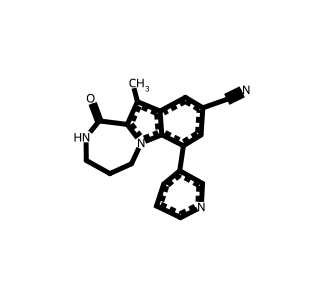 Cc1c2n(c3c(-c4cccnc4)cc(C#N)cc13)CCCNC2=O